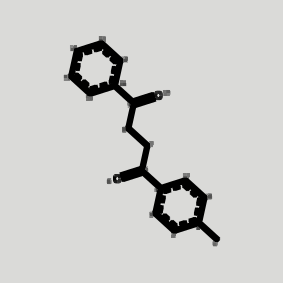 Cc1ccc(C(=O)CCC(=O)c2ccccc2)cc1